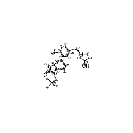 Cn1c(=O)n(CC(C)(C)C)c2ccc(-c3cc(CN4CCC(O)C4)ccc3C#N)nc21